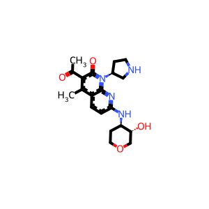 CC(=O)c1c(C)c2ccc(N[C@@H]3CCOC[C@H]3O)nc2n([C@H]2CCNC2)c1=O